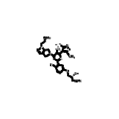 CNC[C@@H](O)COc1ccc(Cl)c(-c2nc(-c3c(C)noc3C)c(C)c(N3Cc4cnn(CCOC)c4C3)n2)c1